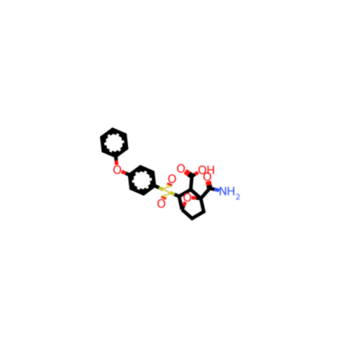 NC(=O)C12CCC(O1)C(S(=O)(=O)c1ccc(Oc3ccccc3)cc1)C2C(=O)O